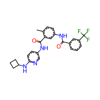 Cc1ccc(NC(=O)c2cccc(C(F)(F)F)c2)cc1C(=O)Nc1ccc(NC2CCC2)nc1